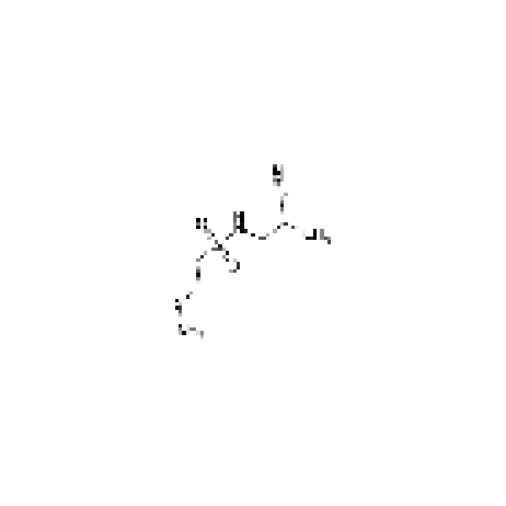 CSCCS(=O)(=O)NCC(C)C#N